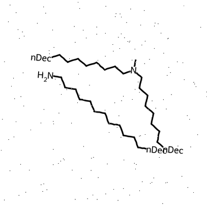 CCCCCCCCCCCCCCCCCCCCCCN.CCCCCCCCCCCCCCCCCCN(C)CCCCCCCCCCCCCCCCCC